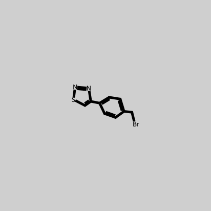 BrCc1ccc(-c2csnn2)cc1